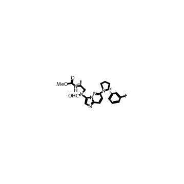 COC(=O)N[C@@H](C)CN(C=O)c1cnc2ccc(N3CCC[C@@H]3c3cccc(F)c3)nn12